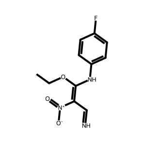 CCO/C(Nc1ccc(F)cc1)=C(/C=N)[N+](=O)[O-]